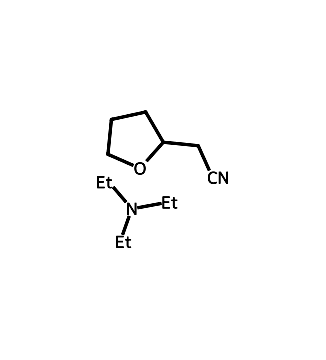 CCN(CC)CC.N#CCC1CCCO1